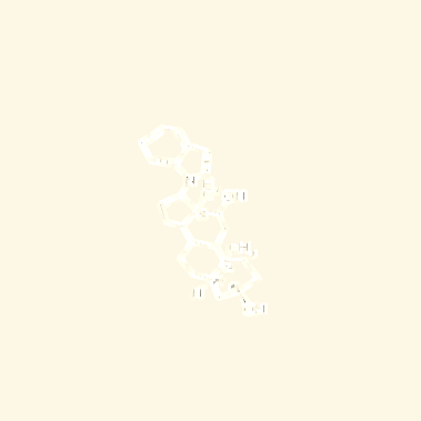 C[C@@]12C(n3ccc4ccccc43)=CCC1C1CC[C@@H]3C[C@H](O)CC[C@]3(C)C1CC2O